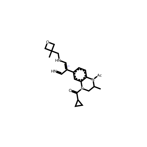 CC(=O)N1c2ccc(/C(C=N)=C/NCC3(C)COC3)cc2N(C(=O)C2CC2)CC1C